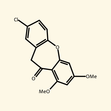 COc1cc(OC)c2c(c1)Oc1ccc(Cl)cc1CC2=O